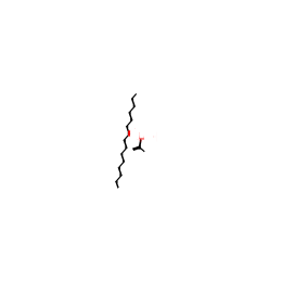 C=C(C)C(=O)O.CCCCCCCCCCCCCCC